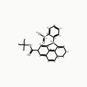 CC(C)(C)OC(=O)C1C=C2C=CC3CCC=c4c3c2c(n4-c2ccccc2[N+](=O)[O-])=C1